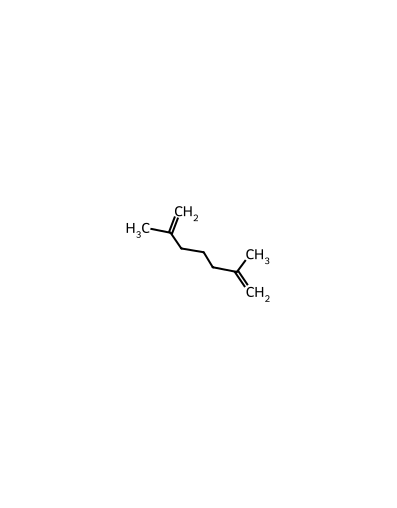 C=C(C)CCCC(=C)C